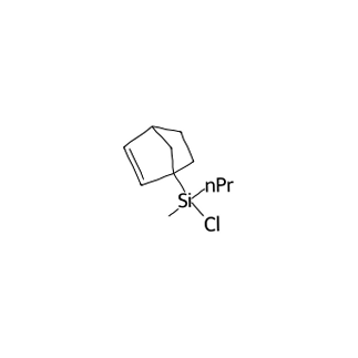 CCC[Si](C)(Cl)C12C=CC(CC1)C2